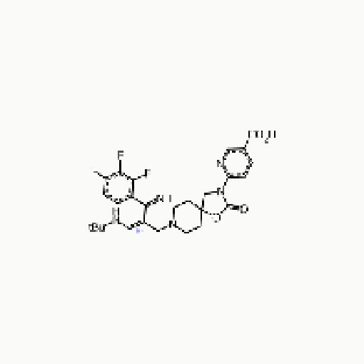 CC(C)(C)N/C=C(/CN1CCC2(CC1)CN(c1ccc(C(=O)O)cn1)C(=O)O2)C(=N)c1ccc(F)c(F)c1F